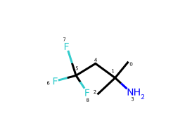 CC(C)(N)CC(F)(F)F